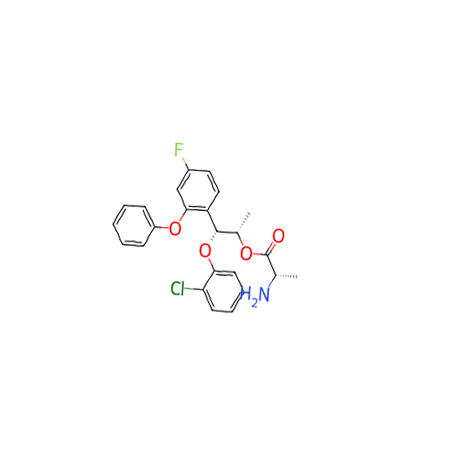 C[C@H](N)C(=O)O[C@@H](C)[C@H](Oc1ccccc1Cl)c1ccc(F)cc1Oc1ccccc1